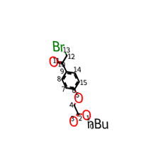 CCCCOC(=O)COc1ccc(C(=O)CBr)cc1